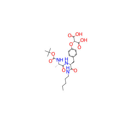 CCCCCNC(=O)[C@H](Cc1ccc(OC(C(=O)O)C(=O)O)cc1)NC(=O)[C@H](C)NC(=O)OC(C)(C)C